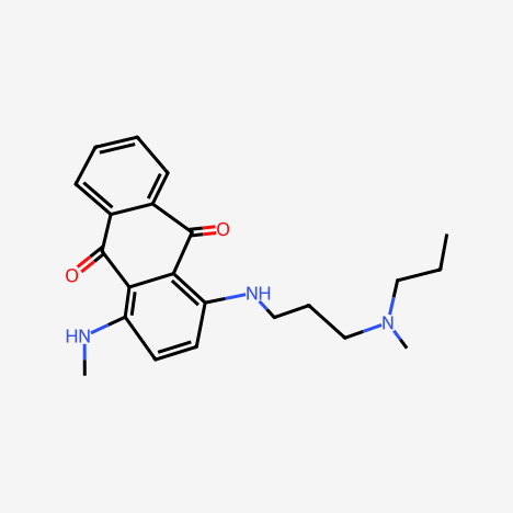 CCCN(C)CCCNc1ccc(NC)c2c1C(=O)c1ccccc1C2=O